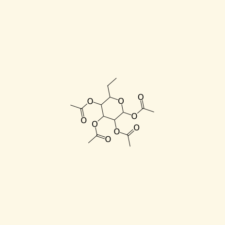 CCC1OC(OC(C)=O)C(OC(C)=O)C(OC(C)=O)C1OC(C)=O